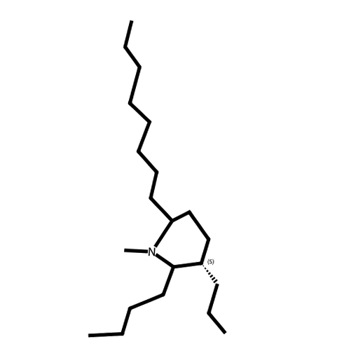 CCCCCCCCC1CC[C@H](CCC)C(CCCC)N1C